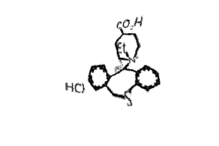 CC[N+]12CCC(C(=O)O)CC1[C@]21c2ccccc2CSc2ccccc21.Cl